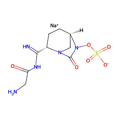 N=C(NC(=O)CN)[C@@H]1CC[C@@H]2CN1C(=O)N2OS(=O)(=O)[O-].[Na+]